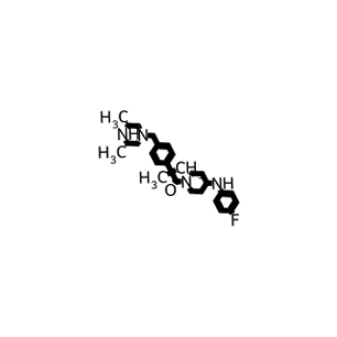 C[C@@H]1CN(Cc2ccc(C(C)(C)C(=O)N3CCC(Nc4ccc(F)cc4)CC3)cc2)C[C@H](C)N1